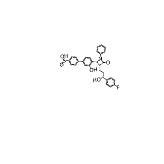 O=C1[C@H](CC[C@H](O)c2ccc(F)cc2)[C@@H](c2ccc(-c3ccc(S(=O)O)cc3)cc2O)N1c1ccccc1